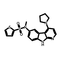 CN(c1ccc2[nH]c3nccc(N4CCCC4)c3c2c1)S(=O)(=O)c1cccs1